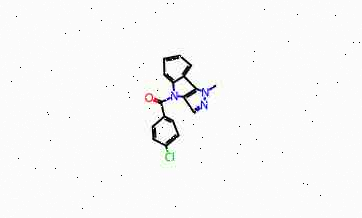 Cn1ncc2c1c1ccccc1n2C(=O)c1ccc(Cl)cc1